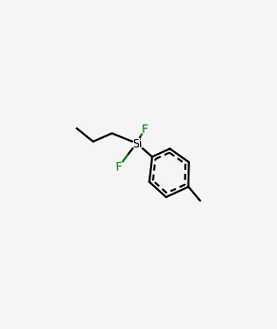 CCC[Si](F)(F)c1ccc(C)cc1